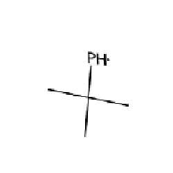 CC(C)(C)[PH]